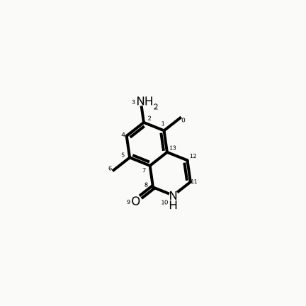 Cc1c(N)cc(C)c2c(=O)[nH]ccc12